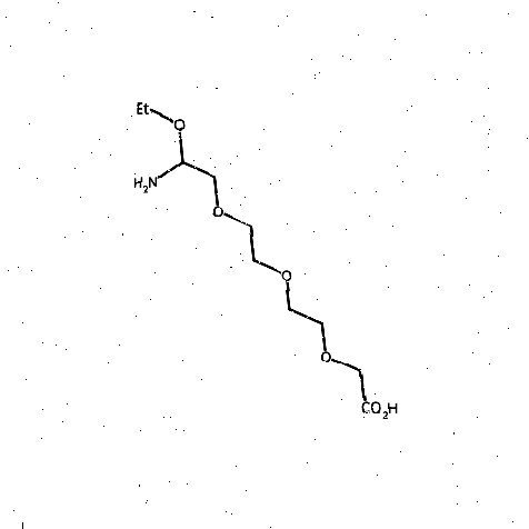 CCOC(N)COCCOCCOCC(=O)O